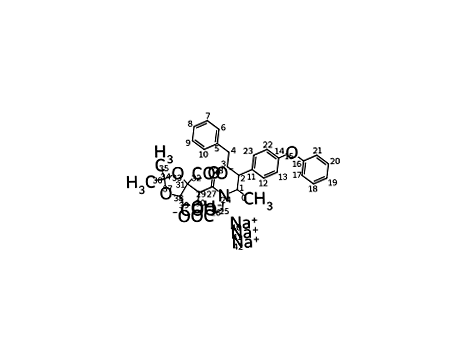 CC(C(CCc1ccccc1)c1ccc(Oc2ccccc2)cc1)N(CC(=O)[O-])C(=O)C(O)C1(C(=O)[O-])OC(C)(C)OC1C(=O)[O-].[Na+].[Na+].[Na+]